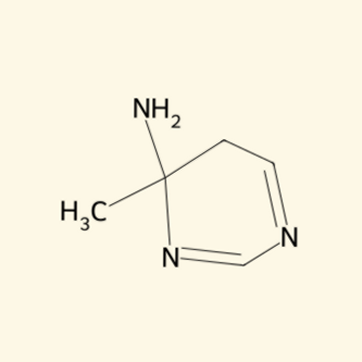 CC1(N)CC=NC=N1